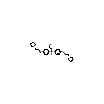 CC(CCO)(c1ccc(OCCN2CCCC2)cc1)c1ccc(OCCN2CCCC2)cc1